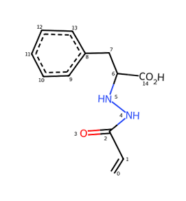 C=CC(=O)NNC(Cc1ccccc1)C(=O)O